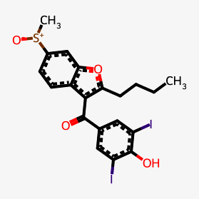 CCCCc1oc2cc([S+](C)[O-])ccc2c1C(=O)c1cc(I)c(O)c(I)c1